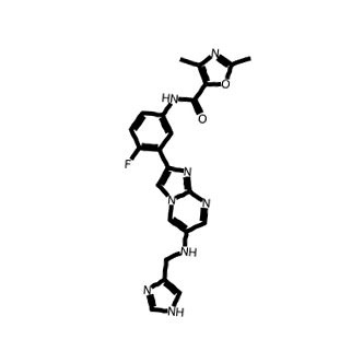 Cc1nc(C)c(C(=O)Nc2ccc(F)c(-c3cn4cc(NCc5c[nH]cn5)cnc4n3)c2)o1